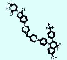 O=C1CC[C@H](N2Cc3cc(N4CCN(CC5CCN(c6ccc([C@@H]7c8ccc(O)cc8C(F)(F)C[C@@H]7c7ccc(C(F)(F)F)cc7)cc6)CC5)CC4)ccc3C2=O)C(=O)N1